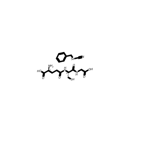 N#C[Se]Cc1ccccc1.N[C@@H](CCC(=O)N[C@@H](CS)C(=O)NCC(=O)O)C(=O)O